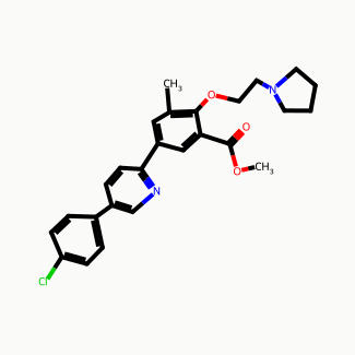 COC(=O)c1cc(-c2ccc(-c3ccc(Cl)cc3)cn2)cc(C)c1OCCN1CCCC1